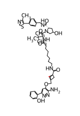 Cc1ncsc1-c1ccc(CNC(=O)[C@@H]2C[C@@H](O)CN2C(=O)[C@@H](NC(=O)CCCCCCCNC(=O)C23CC(COc4cc(-c5ccccc5O)nnc4N)(C2)C3)C(C)(C)C)cc1